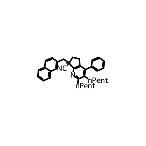 CCCCCc1nc2c(c(-c3ccccc3)c1CCCCC)CC[C@@]2(C#N)Cc1ccc2ccccc2c1